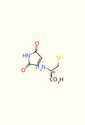 N[C@@H](CS)C(=O)O.O=C1C=CC(=O)N1